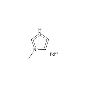 C[n+]1cc[nH]c1.[Pd+2]